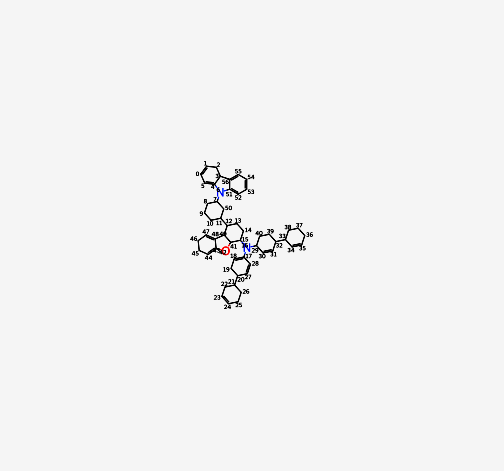 C1=CCC2C(=C1)N(C1CCCC(C3CCC(N(C4=CCC(C5CC=CCC5)C=C4)C4C=CC(C5C=CCCC5)CC4)C4OC5=CCCC=C5C34)C1)c1ccccc12